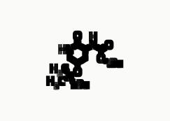 CCCC[Si](C)(C)OC1CNC(=O)C(NC(=O)OC(C)(C)C)C1